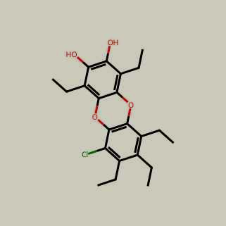 CCc1c(Cl)c2c(c(CC)c1CC)Oc1c(CC)c(O)c(O)c(CC)c1O2